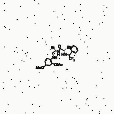 CC[C@@H](CNc1ccc(OC)cc1OC)NC(=O)[C@@H](N[C@@H](c1ccccc1)C(F)(F)F)[C@@H](C)CC